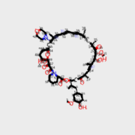 CO[C@@H]1C[C@@H](CC(C)[C@@H]2CC(=O)[C@H](C)/C=C(\C)[C@@H](O)[C@@H](OC)C(=O)[C@H](C)C[C@H](C)/C=C/C=C/C=C(/C)[C@@H](N3CCOCC3)C[C@@H]3CC[C@@H](C)[C@@](O)(O3)C(=O)C(=O)N3CCCCC3C(=O)O2)CC[C@H]1O